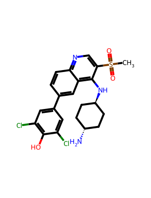 CS(=O)(=O)c1cnc2ccc(-c3cc(Cl)c(O)c(Cl)c3)cc2c1N[C@H]1CC[C@H](N)CC1